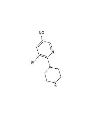 O=Nc1cnc(N2CCNCC2)c(Br)c1